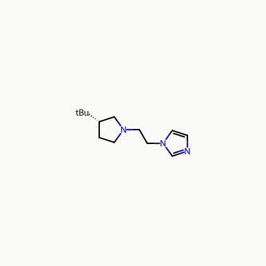 CC(C)(C)[C@H]1CCN(CCn2ccnc2)C1